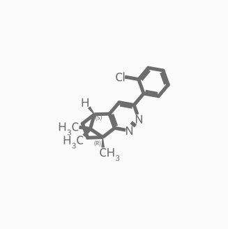 CC1(C)[C@@H]2CC[C@@]1(C)c1nnc(-c3ccccc3Cl)cc12